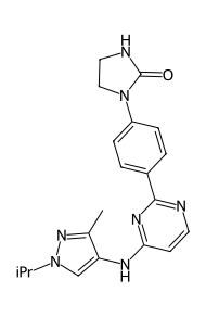 Cc1nn(C(C)C)cc1Nc1ccnc(-c2ccc(N3CCNC3=O)cc2)n1